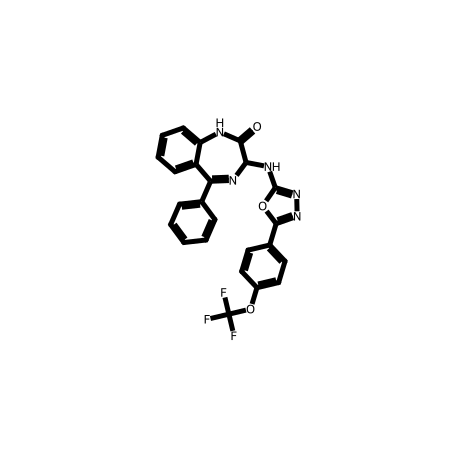 O=C1Nc2ccccc2C(c2ccccc2)=NC1Nc1nnc(-c2ccc(OC(F)(F)F)cc2)o1